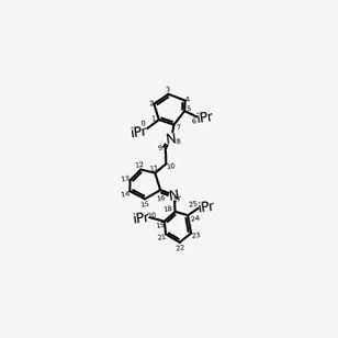 CC(C)c1cccc(C(C)C)c1N=CCC1C=CC=CC1=Nc1c(C(C)C)cccc1C(C)C